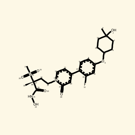 CC1(O)CCC(Oc2ccc(-c3ccn(CC[C@](C)(C(=O)NO)S(C)(=O)=O)c(=O)c3)c(F)c2)CC1